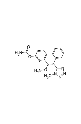 Cn1nnnc1C(=C(ON)c1cccc(OC(N)=O)n1)c1ccccc1